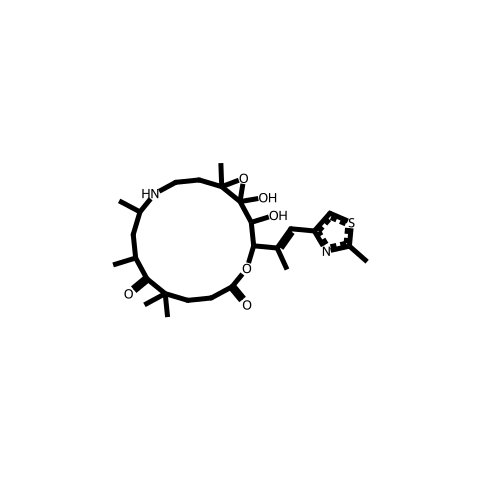 CC(=Cc1csc(C)n1)C1OC(=O)CCC(C)(C)C(=O)C(C)CC(C)NCCC2(C)OC2(O)C1O